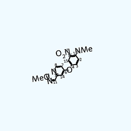 CNc1ccc(Oc2ccnc(/C=N\OC)c2)cc1[N+](=O)[O-]